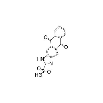 O=C1c2ccccc2C(=O)c2cc3[nH]c(S(=O)(=O)O)nc3cc21